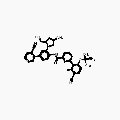 BC(B)(B)Oc1ccc(C#N)c(F)c1-c1nccc(C(=O)Nc2ccc(-c3cnccc3C#N)cc2N2CC(N)CC2CO)n1